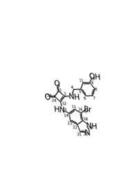 O=c1c(NCc2cccc(O)c2)c(Nc2cc(Br)c3[nH]ncc3c2)c1=O